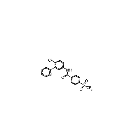 O=C(Nc1ccc(Cl)c(-c2ccccn2)c1)c1ccc(S(=O)(=O)C(F)(F)F)cc1